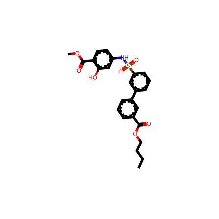 CCCCOC(=O)c1cccc(-c2cccc(S(=O)(=O)Nc3ccc(C(=O)OC)c(O)c3)c2)c1